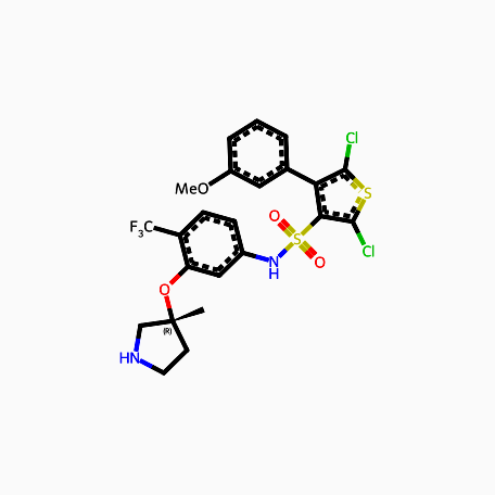 COc1cccc(-c2c(Cl)sc(Cl)c2S(=O)(=O)Nc2ccc(C(F)(F)F)c(O[C@]3(C)CCNC3)c2)c1